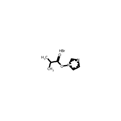 Br.CC(C)C(=O)On1ccnc1